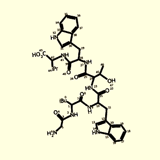 CCC(C)C(NC(=O)CN)C(=O)NC(Cc1c[nH]c2ccccc12)C(=O)NC(C(=O)NC(Cc1c[nH]c2ccccc12)C(=O)NC(C(=O)O)C(C)C)C(C)O